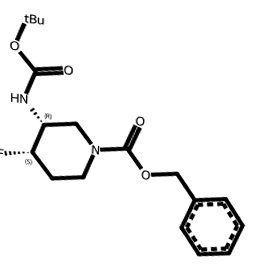 CC(C)(C)OC(=O)N[C@@H]1CN(C(=O)OCc2ccccc2)CC[C@@H]1F